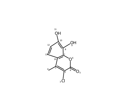 Cc1c(Cl)c(=O)oc2c(O)c(O)ccc12